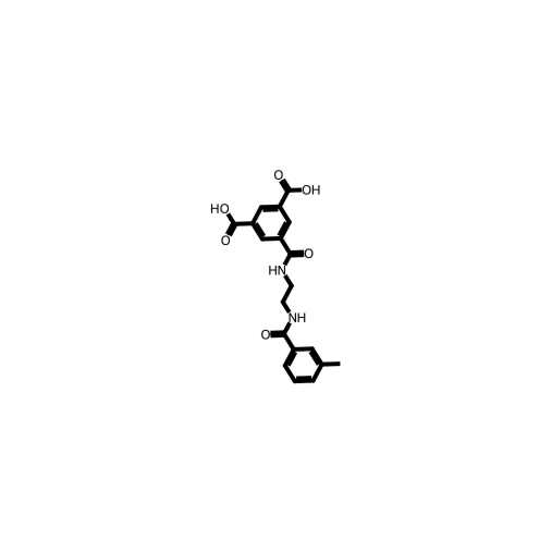 Cc1cccc(C(=O)NCCNC(=O)c2cc(C(=O)O)cc(C(=O)O)c2)c1